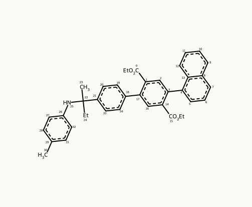 CCOC(=O)c1cc(-c2cccc3ccccc23)c(C(=O)OCC)cc1-c1ccc(C(C)(CC)Nc2ccc(C)cc2)cc1